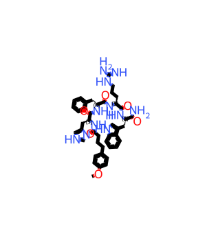 COc1ccc(CCCC(=O)N[C@@H](Cc2c[nH]cn2)C(=O)N[C@H](Cc2ccccc2)C(=O)N[C@@H](CCCNC(=N)N)C(=O)N[C@@H](Cc2c[nH]c3ccccc23)C(N)=O)cc1